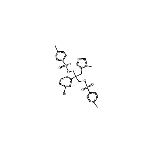 Cc1ccc(S(=O)(=O)OCC(COS(=O)(=O)c2ccc(C)cc2)(Cc2nncn2C)c2cccc(Br)c2)cc1